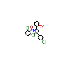 COc1ccccc1C1CC(c2ccc(Cl)cc2)=CN1C(=O)c1c(Cl)cccc1Cl